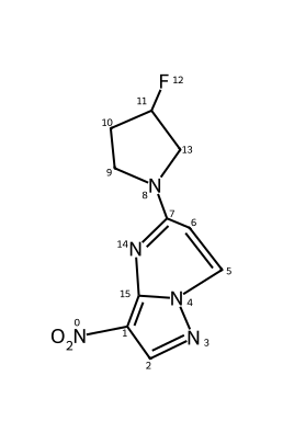 O=[N+]([O-])c1cnn2ccc(N3CCC(F)C3)nc12